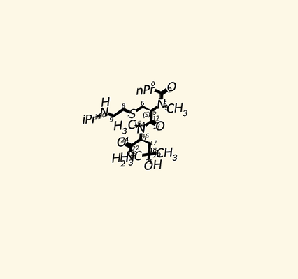 CCCC(=O)N(C)[C@H](CSCCNC(C)C)C(=O)N(C)[C@@H](CC(C)(C)O)C(N)=O